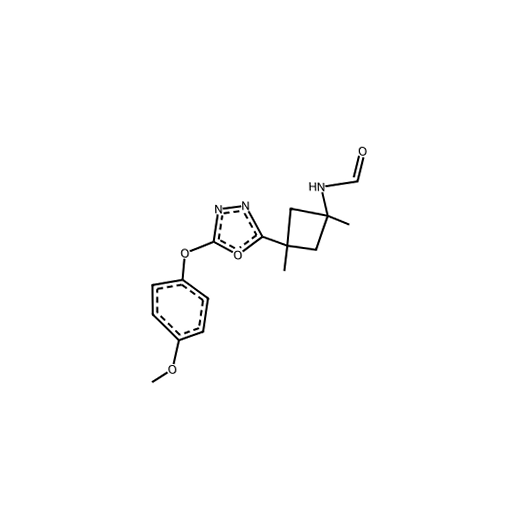 COc1ccc(Oc2nnc(C3(C)CC(C)(NC=O)C3)o2)cc1